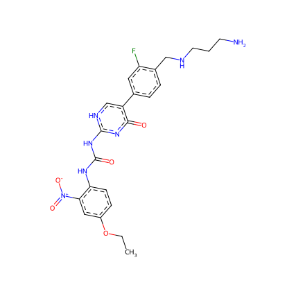 CCOc1ccc(NC(=O)Nc2nc(=O)c(-c3ccc(CNCCCN)c(F)c3)c[nH]2)c([N+](=O)[O-])c1